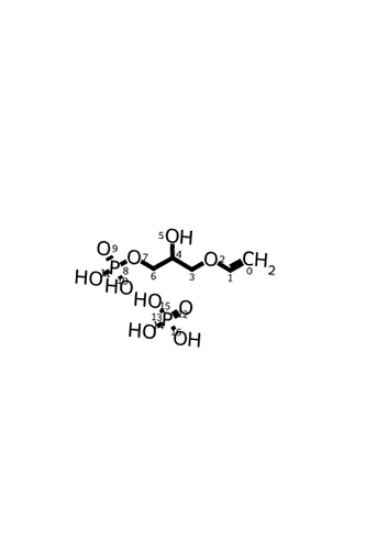 C=COCC(O)COP(=O)(O)O.O=P(O)(O)O